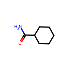 NC(=O)C1CC[CH]CC1